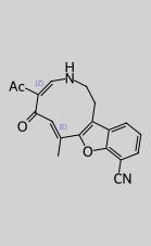 CC(=O)/C1=C/NCCc2c(oc3c(C#N)cccc23)/C(C)=C/C1=O